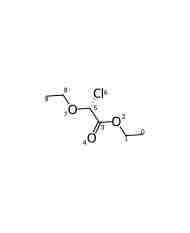 CCOC(=O)[C@@H](Cl)OCC